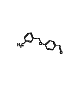 Cc1cccc(COc2ccc(C=O)cc2)c1